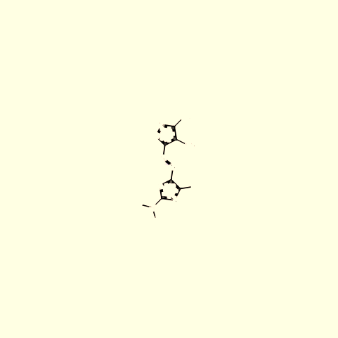 CCN(CC)c1nc(C(C)(C)C)c(/N=N/c2snc(C(C)(C)C)c2C#N)s1